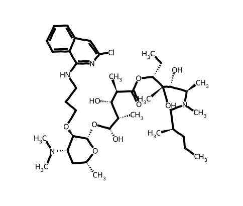 CCC[C@@H](C)CN(C)[C@H](C)[C@@H](O)[C@](C)(O)[C@@H](CC)OC(=O)[C@H](C)[C@@H](O)[C@H](C)[C@H](O)O[C@@H]1O[C@H](C)C[C@H](N(C)C)[C@H]1OCCCNc1nc(Cl)cc2ccccc12